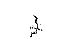 CC=COP(=O)(O)OCC